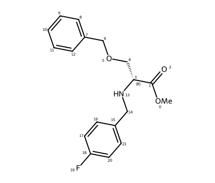 COC(=O)[C@@H](COCc1ccccc1)NCc1ccc(F)cc1